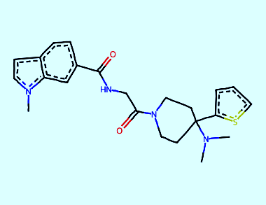 CN(C)C1(c2cccs2)CCN(C(=O)CNC(=O)c2ccc3ccn(C)c3c2)CC1